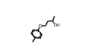 Cc1ccc(OCCC(C)O)cc1